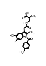 Cc1ccc(C(=O)n2c(C)c(CC(=O)NCC(C)C(=O)O)c3cc(O)c(F)cc32)cc1